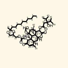 CCCCCCCCCCC1(C)OCC(COC(=O)O[C@@H]2C(=O)C=C(C)[C@@H]3C[C@H]4OC(=O)[C@H](OC(=O)CC(O)(C(C)C)C(C)C)[C@H]5[C@H](C)[C@@H](O)[C@](O)(OC)[C@@H]([C@]54C)[C@@]23C)O1